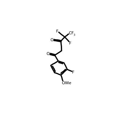 COc1ccc(C(=O)CC(=O)C(F)(F)C(F)(F)F)cc1F